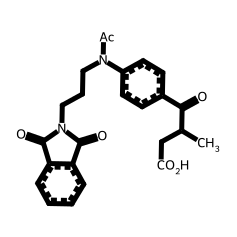 CC(=O)N(CCCN1C(=O)c2ccccc2C1=O)c1ccc(C(=O)C(C)CC(=O)O)cc1